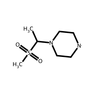 CC(N1CC[N]CC1)S(C)(=O)=O